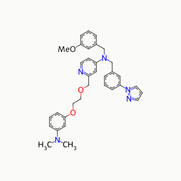 COc1cccc(CN(Cc2cccc(-n3cccn3)c2)c2ccnc(COCCOc3cccc(N(C)C)c3)c2)c1